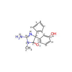 CN1C(=O)C(c2ccccc2)(c2cccc(O)c2)N=C1N